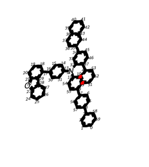 c1ccc(-c2ccc(-c3ccc(N(c4ccc(-c5cccc6oc7ccccc7c56)cc4)c4cc(-c5ccc6ccccc6c5)ccc4-c4ccccc4)cc3)cc2)cc1